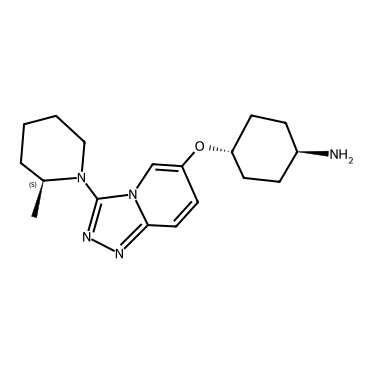 C[C@H]1CCCCN1c1nnc2ccc(O[C@H]3CC[C@H](N)CC3)cn12